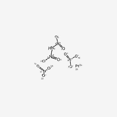 O=[N+]([O-])N[N+](=O)[O-].O=[N+]([O-])[O-].O=[N+]([O-])[O-].[Pt+2]